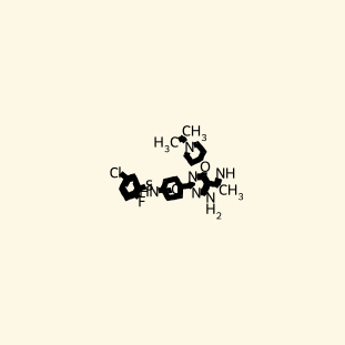 CC(=N)c1c(N)nc(C23CCC(NSc4cc(Cl)ccc4F)(CC2)CC3)nc1OC1CCN(C(C)C)CC1